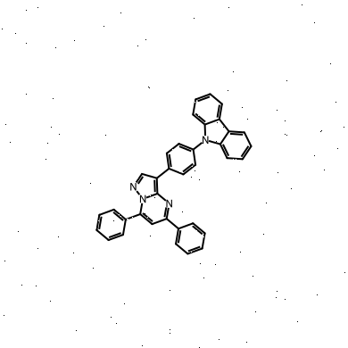 c1ccc(-c2cc(-c3ccccc3)n3ncc(-c4ccc(-n5c6ccccc6c6ccccc65)cc4)c3n2)cc1